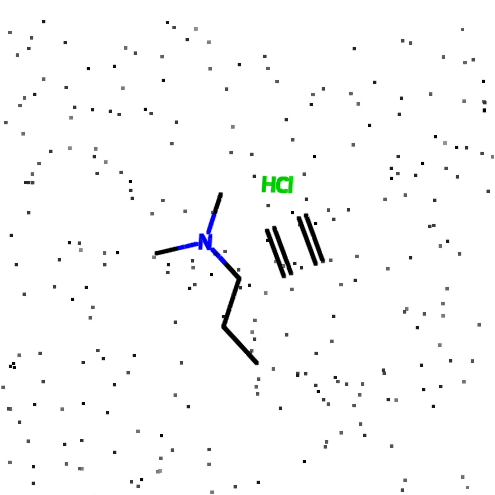 C=C.C=C.CCCN(C)C.Cl